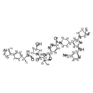 Cc1ncsc1-c1ccc([C@H](C)NC(=O)[C@@H]2C[C@@H](O)CN2C(=O)[C@@H](NC(=O)c2ccc(C(=O)N3CCC(c4cc(Nc5cc(C#N)ccn5)nc(N5CCC(F)(F)C5)c4)CC3)nn2)C(C)(C)C)cc1